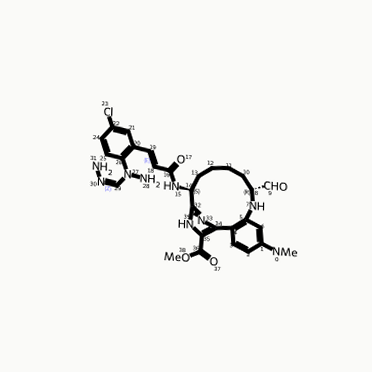 CNc1ccc2c(c1)N[C@@H](C=O)CCCC[C@H](NC(=O)/C=C/c1cc(Cl)ccc1N(N)/C=N\N)c1nc-2c(C(=O)OC)[nH]1